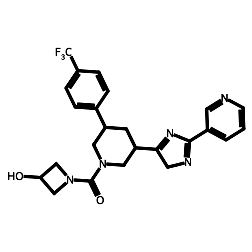 O=C(N1CC(O)C1)N1CC(C2=NC(c3cccnc3)=NC2)CC(c2ccc(C(F)(F)F)cc2)C1